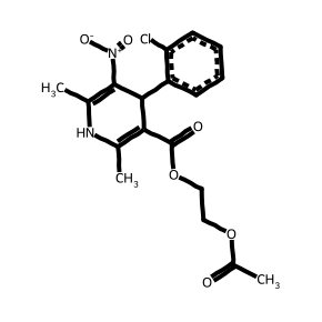 CC(=O)OCCOC(=O)C1=C(C)NC(C)=C([N+](=O)[O-])C1c1ccccc1Cl